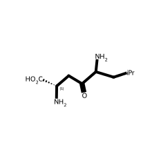 CC(C)CC(N)C(=O)C[C@H](N)C(=O)O